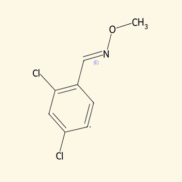 CO/N=C/c1c[c]c(Cl)cc1Cl